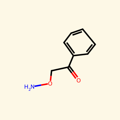 NOCC(=O)c1ccccc1